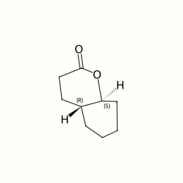 O=C1CC[C@H]2CCCC[C@@H]2O1